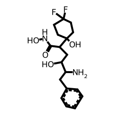 NC(Cc1ccccc1)C(O)CC(C(=O)NO)C1(O)CCC(F)(F)CC1